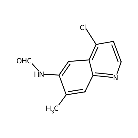 Cc1cc2nccc(Cl)c2cc1NC=O